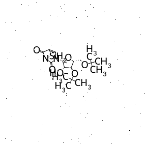 CC(C)(C)OC[C@H]1O[C@@H](n2cc3c(=O)n(c2=O)[SiH2]3)[C@@H](O)[C@@H]1OC(C)(C)C